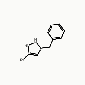 CCC1=CN(Cc2ccccn2)NN1